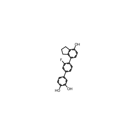 Oc1ccc(-c2ccc(-c3ccc(O)c4c3CCC4)c(F)c2)cc1O